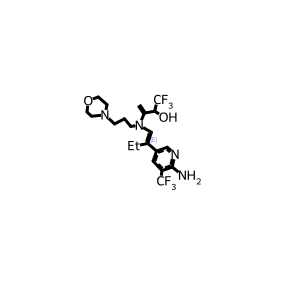 C=C(C(O)C(F)(F)F)N(/C=C(\CC)c1cnc(N)c(C(F)(F)F)c1)CCCN1CCOCC1